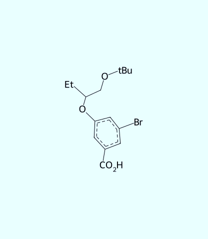 CCC(COC(C)(C)C)Oc1cc(Br)cc(C(=O)O)c1